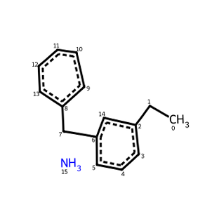 CCc1cccc(Cc2ccccc2)c1.N